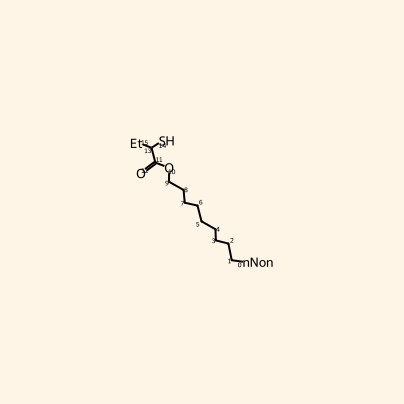 CCCCCCCCCCCCCCCCCCOC(=O)C(S)CC